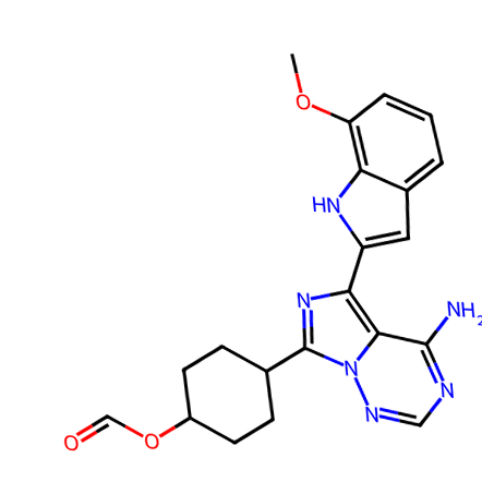 COc1cccc2cc(-c3nc(C4CCC(OC=O)CC4)n4ncnc(N)c34)[nH]c12